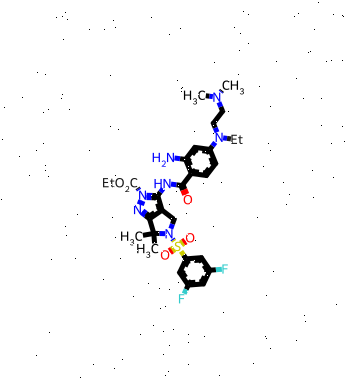 CCOC(=O)n1nc2c(c1NC(=O)c1ccc(N(CC)CCN(C)C)cc1N)CN(S(=O)(=O)c1cc(F)cc(F)c1)C2(C)C